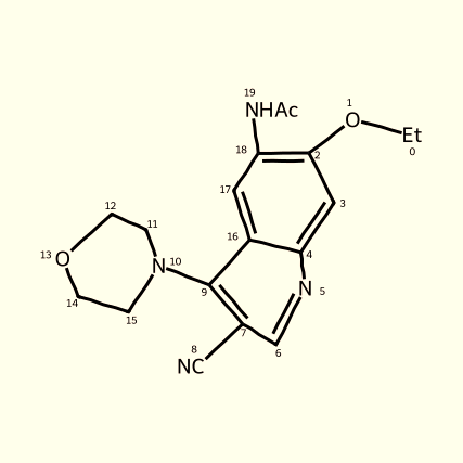 CCOc1cc2ncc(C#N)c(N3CCOCC3)c2cc1NC(C)=O